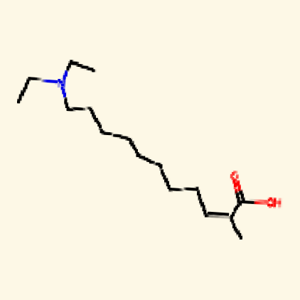 CCN(CC)CCCCCCCCC=C(C)C(=O)O